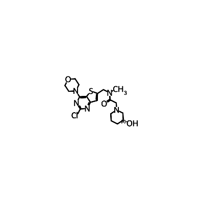 CN(Cc1cc2nc(Cl)nc(N3CCOCC3)c2s1)C(=O)CN1CCC[C@@H](O)C1